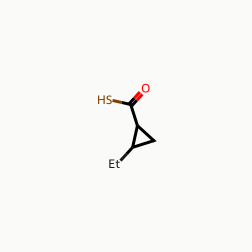 CCC1CC1C(=O)S